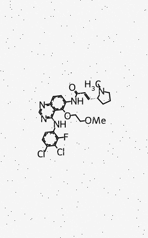 COCCOc1c(NC(=O)/C=C/[C@H]2CCCN2C)ccc2ncnc(Nc3ccc(Cl)c(Cl)c3F)c12